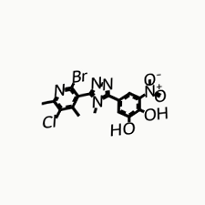 Cc1nc(Br)c(-c2nnc(-c3cc(O)c(O)c([N+](=O)[O-])c3)n2C)c(C)c1Cl